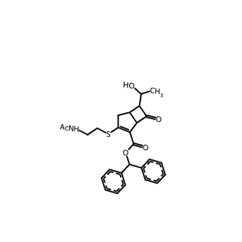 CC(=O)NCCSC1=C(C(=O)OC(c2ccccc2)c2ccccc2)C2C(=O)C(C(C)O)C2C1